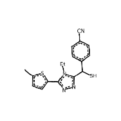 CCn1c(-c2ccc(C)s2)nnc1C(S)c1ccc(C#N)cc1